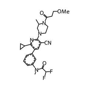 COCCC(=O)N1CCN(c2nc(C3CC3)c(-c3cccc(N(C)C(=O)C(F)F)c3)cc2C#N)CC1C